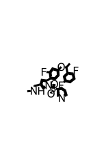 CNCc1cc(-c2ccc(OC(C)c3cc(F)ccc3F)cc2F)n(S(=O)(=O)c2cccnc2)c1